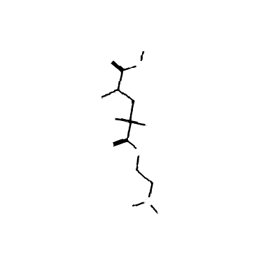 CCCOC(=O)C(CC)CC(C)(C)C(=O)OCCN(CC)CC